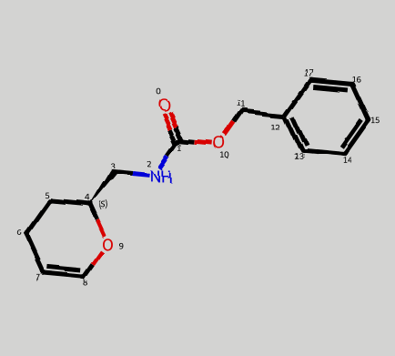 O=C(NC[C@@H]1CCC=CO1)OCc1ccccc1